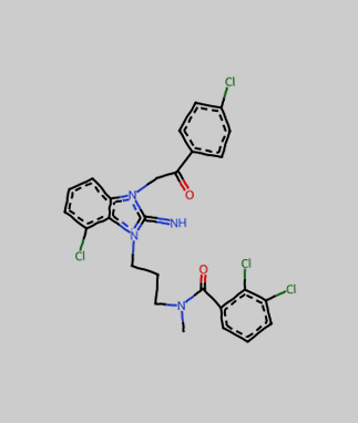 CN(CCCn1c(=N)n(CC(=O)c2ccc(Cl)cc2)c2cccc(Cl)c21)C(=O)c1cccc(Cl)c1Cl